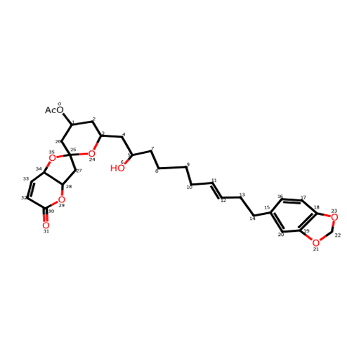 CC(=O)OC1CC(CC(O)CCCC/C=C/CCc2ccc3c(c2)OCO3)OC2(C1)CC1OC(=O)C=CC1O2